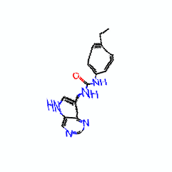 CCc1ccc(NC(=O)Nc2c[nH]c3cncnc23)cc1